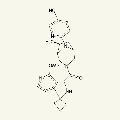 COc1cc(C2(NCC(=O)N3CC4C[C@H](C)C(C3)N4c3ccc(C#N)cn3)CCC2)ccn1